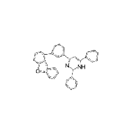 C1=C(c2ccccc2)NC(c2ccccc2)N=C1c1cccc(-c2cccc3oc4ccccc4c23)c1